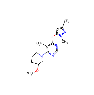 CCOC(=O)OC1CCCN(c2ncnc(Oc3cc(C(F)(F)F)nn3C)c2[N+](=O)[O-])C1